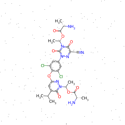 CC(C)c1cc(Oc2c(Cl)cc(-n3nc(C#N)c(=O)n(C(C)OC(=O)[C@H](C)N)c3=O)cc2Cl)nn(C(C)OC(=O)[C@H](C)N)c1=O